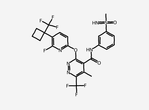 Cc1c(C(F)(F)F)nnc(Oc2ccc(C3(C(F)(F)F)CCC3)c(F)n2)c1C(=O)Nc1cccc(S(C)(=N)=O)c1